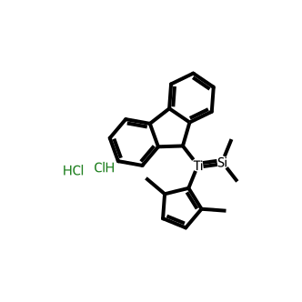 CC1=[C]([Ti]([CH]2c3ccccc3-c3ccccc32)=[Si](C)C)C(C)C=C1.Cl.Cl